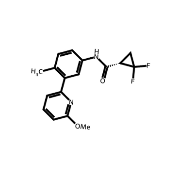 COc1cccc(-c2cc(NC(=O)[C@@H]3CC3(F)F)ccc2C)n1